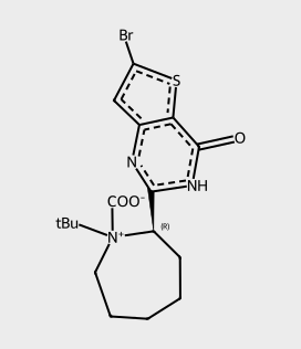 CC(C)(C)[N+]1(C(=O)[O-])CCCCC[C@@H]1c1nc2cc(Br)sc2c(=O)[nH]1